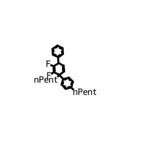 CCCCCc1ccc(C2(CCCCC)C=CC(c3ccccc3)C(F)=C2F)cc1